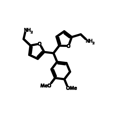 COC1=CC(C(c2ccc(CN)o2)c2ccc(CN)o2)=CCC1OC